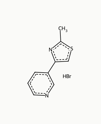 Br.Cc1nc(-c2cccnc2)cs1